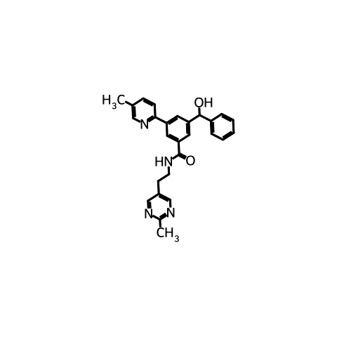 Cc1ccc(-c2cc(C(=O)NCCc3cnc(C)nc3)cc(C(O)c3ccccc3)c2)nc1